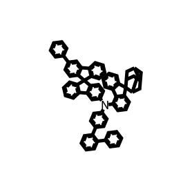 c1ccc(-c2ccc3c(c2)-c2ccccc2C32c3ccccc3-c3cc(N(c4ccc(-c5ccccc5-c5ccccc5)cc4)c4cccc5c4-c4ccccc4C54C5CC6CC(C5)CC4C6)ccc32)cc1